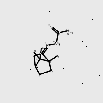 CC12CCC(CC1=NNC(N)=S)C2(C)C